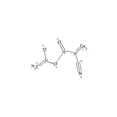 C=C(Cl)OC(=O)C(=C)C#N